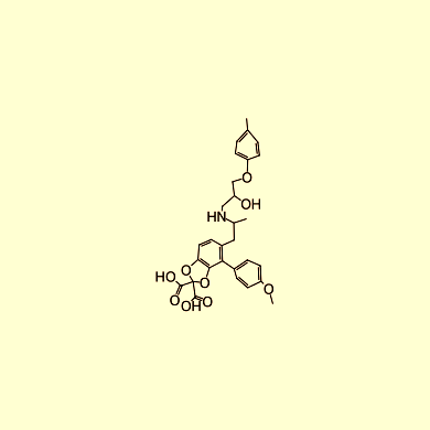 COc1ccc(-c2c(CC(C)NCC(O)COc3ccc(C)cc3)ccc3c2OC(C(=O)O)(C(=O)O)O3)cc1